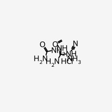 C=O.Cl.N.N#CNC(=N)N.NC(N)=O